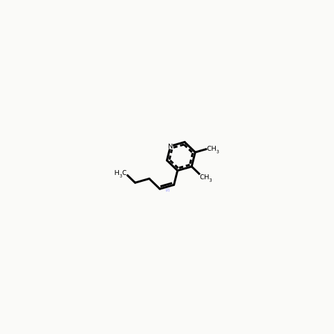 CCC/C=C\c1cncc(C)c1C